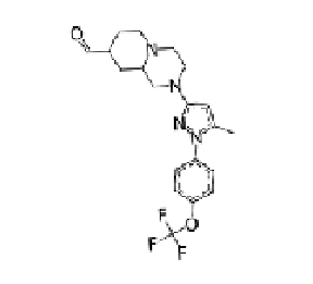 Cc1cc(N2CCN3CCC(C=O)CC3C2)nn1-c1ccc(OC(F)(F)F)cc1